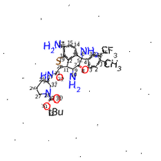 Cc1ccc(C2(N)C(=O)C(N)C3c4c2ccc(N)c4SC3C(=O)N[C@@H]2CCCN(C(=O)OC(C)(C)C)C2)cc1C(F)(F)F